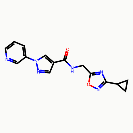 O=C(NCc1nc(C2CC2)no1)c1cnn(-c2cccnc2)c1